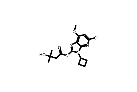 COc1cc(Cl)nc2c1nc(NC(=O)CC(C)(C)O)n2C1CCC1